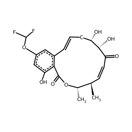 C[C@@H]1/C=C\C(=O)[C@@H](O)[C@@H](O)C/C=C/c2cc(OC(F)F)cc(O)c2C(=O)O[C@H]1C